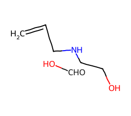 C=CCNCCO.O=CO